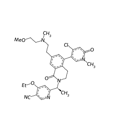 CCOc1cc([C@H](C)N2CCc3c(cc(CCN(C)CCOC)cc3-c3cn(C)c(=O)cc3Cl)C2=O)ncc1C#N